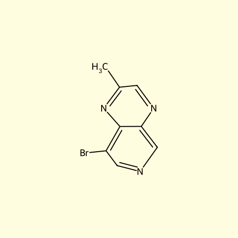 Cc1cnc2cncc(Br)c2n1